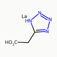 O=C(O)Cc1nnn[nH]1.[La]